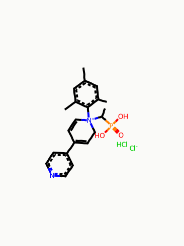 Cc1cc(C)c([N+]2(C(C)P(=O)(O)O)C=CC(c3ccncc3)=CC2)c(C)c1.Cl.[Cl-]